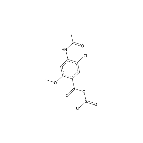 COc1cc(NC(C)=O)c(Cl)cc1C(=O)OS(=O)Cl